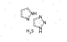 S.c1c[nH]nn1.c1cn[nH]c1